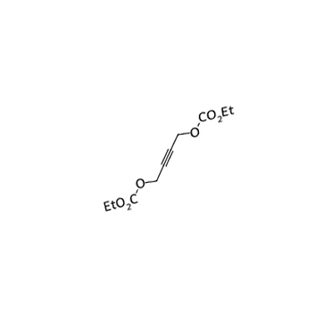 CCOC(=O)OCC#CCOC(=O)OCC